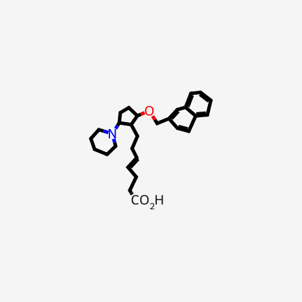 O=C(O)CCC=CCCC1C(OCc2ccc3ccccc3c2)CCC1N1CCCCC1